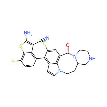 N#Cc1c(N)sc2c(F)ccc(-c3c(F)cc4c5c3ccn5CCC3CNCCN3C4=O)c12